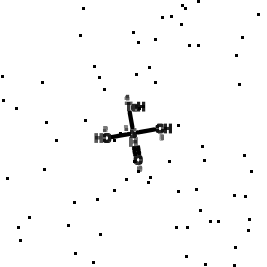 O=[SH](O)(O)[TeH]